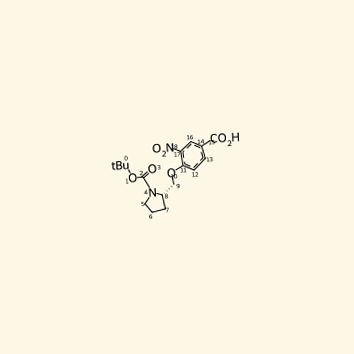 CC(C)(C)OC(=O)N1CCC[C@H]1COc1ccc(C(=O)O)cc1[N+](=O)[O-]